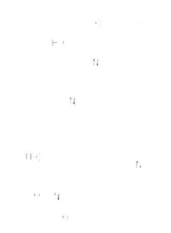 Cc1c(CN2CCN(C(=O)CC3CC3)[C@@H](C)C2)cc(C#N)cc1[N+](=O)[O-]